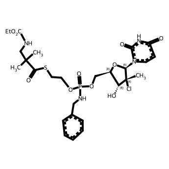 CCOC(=O)NCC(C)(C)C(=O)SCCOP(=O)(NCc1ccccc1)OC[C@H]1O[C@@H](n2ccc(=O)[nH]c2=O)[C@](C)(Cl)[C@@H]1O